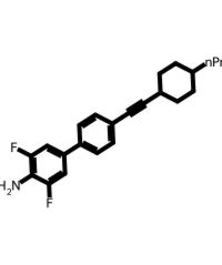 CCCC1CCC(C#Cc2ccc(-c3cc(F)c(N)c(F)c3)cc2)CC1